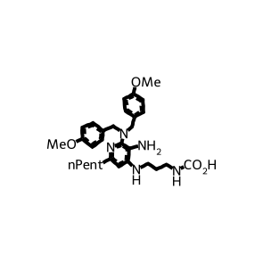 CCCCCc1cc(NCCCNC(=O)O)c(N)c(N(Cc2ccc(OC)cc2)Cc2ccc(OC)cc2)n1